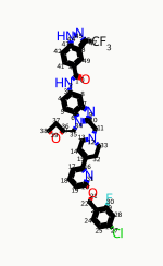 O=C(Nc1ccc2c(c1)nc(CN1CC=C(c3cccc(OCc4ccc(Cl)cc4F)n3)CC1)n2C[C@@H]1CCO1)c1ccc2[nH]nc(C(F)(F)F)c2c1